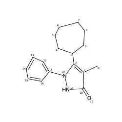 Cc1c(C2CCCCCC2)n(-c2ccccc2)[nH]c1=O